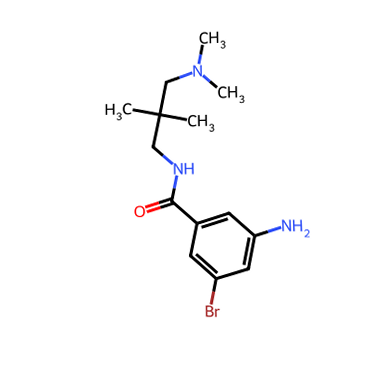 CN(C)CC(C)(C)CNC(=O)c1cc(N)cc(Br)c1